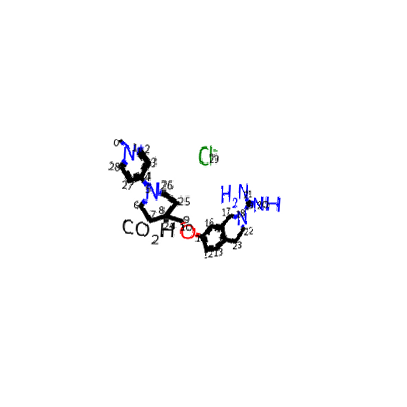 C[n+]1ccc(N2CCC(COc3ccc4c(c3)CN(C(=N)N)CC4)(C(=O)O)CC2)cc1.[Cl-]